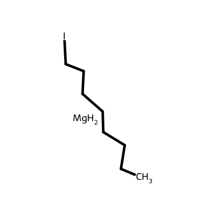 CCCCCCCCI.[MgH2]